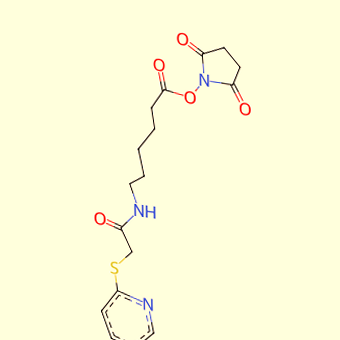 O=C(CSc1ccccn1)NCCCCCC(=O)ON1C(=O)CCC1=O